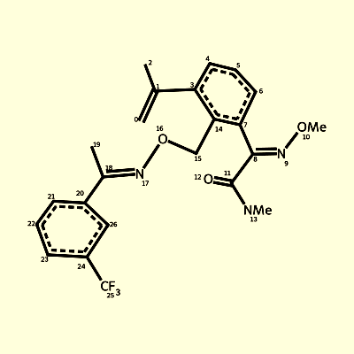 C=C(C)c1cccc(/C(=N\OC)C(=O)NC)c1CO/N=C(\C)c1cccc(C(F)(F)F)c1